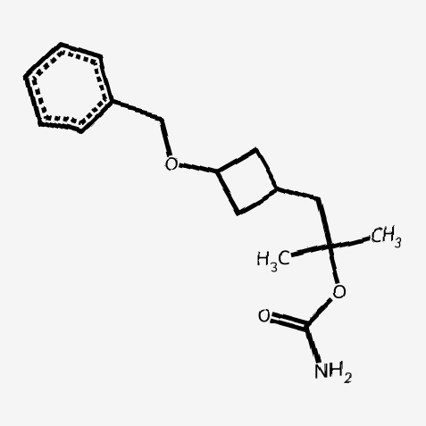 CC(C)(CC1CC(OCc2ccccc2)C1)OC(N)=O